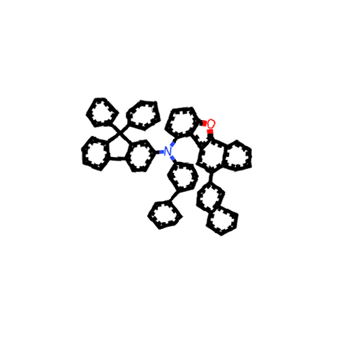 c1ccc(-c2cccc(N(c3ccc4c(c3)C(c3ccccc3)(c3ccccc3)c3ccccc3-4)c3cccc4oc5c6ccccc6c(-c6ccc7ccccc7c6)cc5c34)c2)cc1